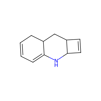 C1=CCC2CC3C=CC3NC2=C1